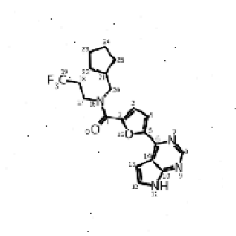 O=C(c1ccc(-c2ncnc3[nH]ccc23)o1)N(CCC(F)(F)F)CC1CCCC1